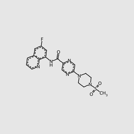 CS(=O)(=O)N1CCN(c2cnc(C(=O)Nc3cc(F)cc4cccnc34)cn2)CC1